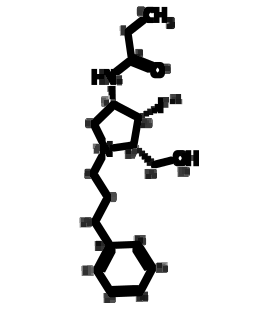 CCC(=O)N[C@H]1CN(CCCc2ccccc2)[C@@H](CO)[C@H]1F